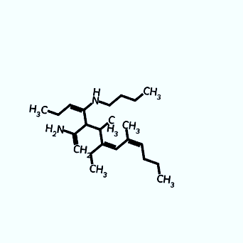 C=C(N)C(/C(=C\CC)NCCCC)C(C)/C(=C\C(C)=C/CCC)CC